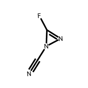 N#CN1N=C1F